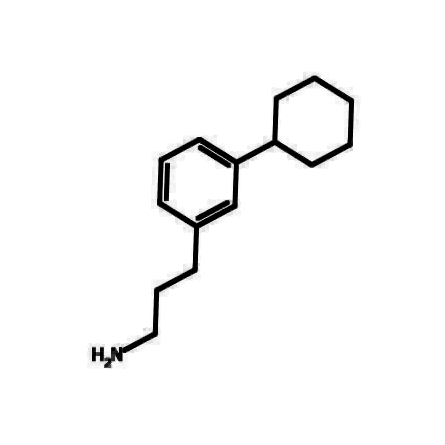 NCCCc1cccc(C2CCCCC2)c1